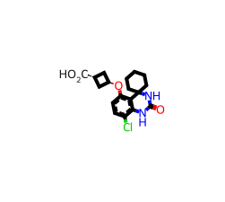 O=C1Nc2c(Cl)ccc(O[C@H]3C[C@@H](C(=O)O)C3)c2C2(CCCCC2)N1